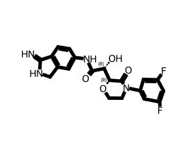 N=C1NCc2cc(NC(=O)[C@H](O)[C@H]3OCCN(c4cc(F)cc(F)c4)C3=O)ccc21